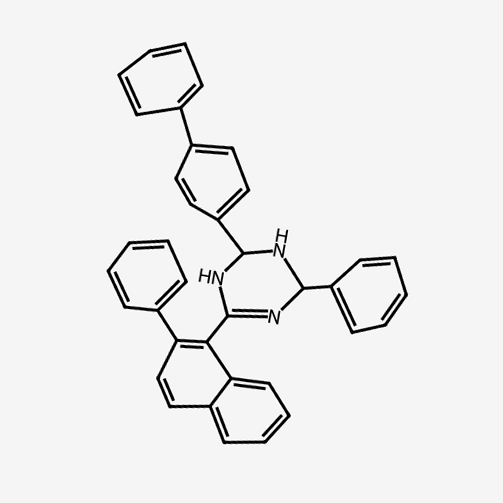 c1ccc(-c2ccc(C3NC(c4c(-c5ccccc5)ccc5ccccc45)=NC(c4ccccc4)N3)cc2)cc1